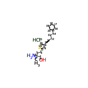 CC(N)(CO)CCc1cc(C#CCCCc2ccccc2)cs1.Cl